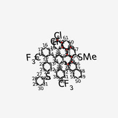 CSc1ccc(-c2cc(Cl)ccc2-c2c(-c3cccc(C(F)(F)F)c3-c3ccc(Sc4ccccc4)cc3)[c]c(-c3ccc(C(F)(F)F)cc3-c3cccc4ccccc34)c3cccc(-c4cccc(Cl)c4)c23)cc1